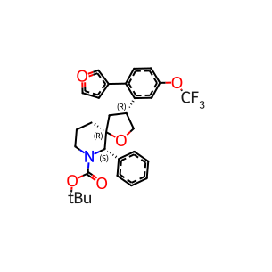 CC(C)(C)OC(=O)N1CCC[C@@]2(C[C@H](c3cc(OC(F)(F)F)ccc3-c3ccoc3)CO2)[C@@H]1c1ccccc1